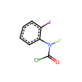 O=C(Cl)N(F)c1ccccc1I